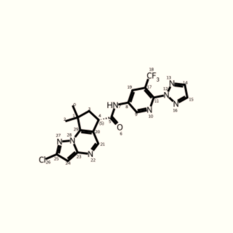 CC1(C)C[C@H](C(=O)Nc2cnc(-n3nccn3)c(C(F)(F)F)c2)c2cnc3cc(Cl)nn3c21